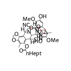 C=CCN1[C@@H]2Cc3cc(C)c(OC)c(O)c3[C@H]1C1[C@@H]3SC[C@]4(NCCc5cc(O)c(OC)cc54)C(=O)OC[C@@H](c4c5c(c(C)c(OC(=O)CCCCCCC)c43)OCO5)N1[C@H]2C#N